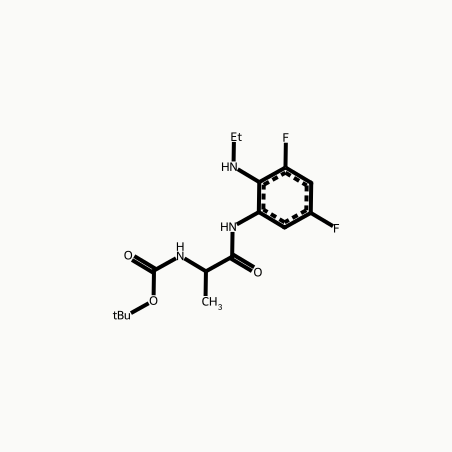 CCNc1c(F)cc(F)cc1NC(=O)C(C)NC(=O)OC(C)(C)C